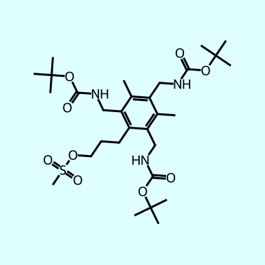 Cc1c(CNC(=O)OC(C)(C)C)c(C)c(CNC(=O)OC(C)(C)C)c(CCCOS(C)(=O)=O)c1CNC(=O)OC(C)(C)C